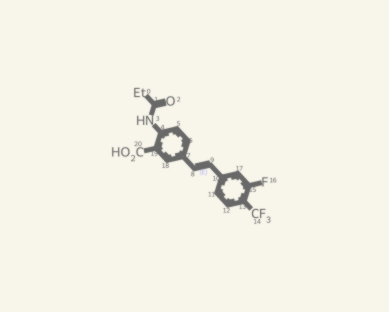 CCC(=O)Nc1ccc(/C=C/c2ccc(C(F)(F)F)c(F)c2)cc1C(=O)O